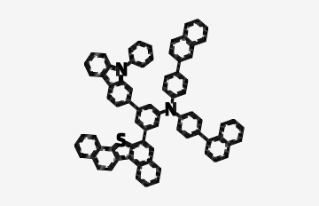 c1ccc(-n2c3ccccc3c3ccc(-c4cc(-c5cc6ccccc6c6c5sc5c7ccccc7ccc56)cc(N(c5ccc(-c6ccc7ccccc7c6)cc5)c5ccc(-c6cccc7ccccc67)cc5)c4)cc32)cc1